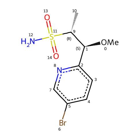 CO[C@@H](c1ccc(Br)cn1)[C@@H](C)S(N)(=O)=O